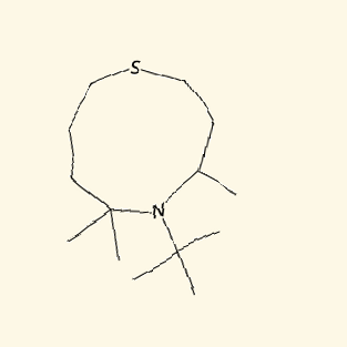 CC1CCSCCCC(C)(C)N1C(C)(C)C